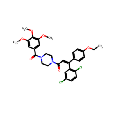 CCOc1ccc(C(=CC(=O)N2CCN(C(=O)c3cc(OC)c(OC)c(OC)c3)CC2)c2cc(Cl)ccc2Cl)cc1